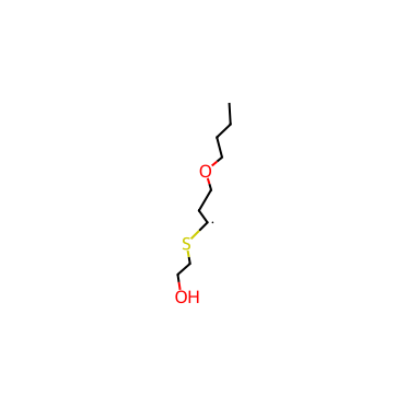 CCCCOCC[CH]SCCO